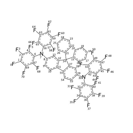 Fc1c(F)c(F)c(N(c2ccc3c(c2)C(c2ccccc2)(c2ccccc2)c2cc(N(c4c(F)c(F)c(F)c(F)c4F)c4c(F)c(F)c(F)c(F)c4F)ccc2-3)c2c(F)c(F)c(F)c(F)c2F)c(F)c1F